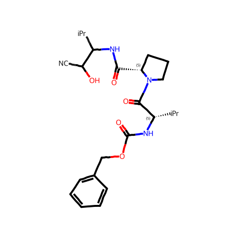 CC(C)C(NC(=O)[C@@H]1CCCN1C(=O)[C@@H](NC(=O)OCc1ccccc1)C(C)C)C(O)C#N